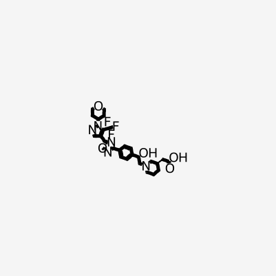 O=C(O)C[C@H]1CCCN(C[C@@H](O)c2ccc(-c3noc(-c4cnn(C5CCOCC5)c4C(F)(F)F)n3)cc2)C1